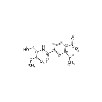 COC(=O)C(CO)NC(=O)c1ccc([N+](=O)[O-])c(OC)c1